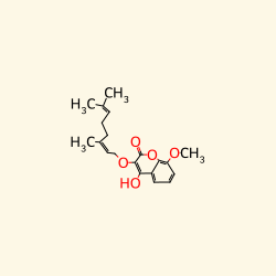 COc1cccc2c(O)c(OCC=C(C)CCC=C(C)C)c(=O)oc12